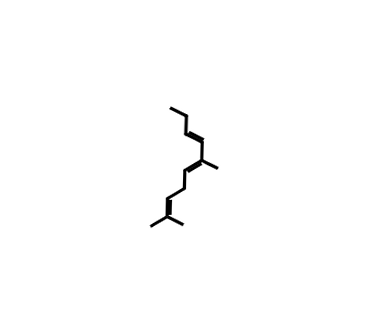 CCC=CC(C)=CCC=C(C)C